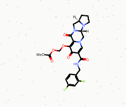 COC(=O)OCOc1c2n(cc(C(=O)NCc3ccc(F)cc3F)c1=O)C[C@@H]1N(C[C@H]3CCCN31)C2=O